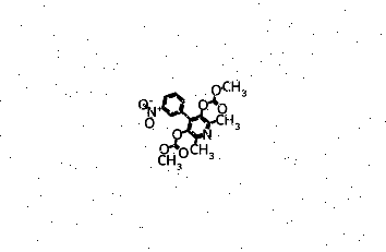 COC(=O)Oc1c(C)nc(C)c(OC(=O)OC)c1-c1cccc([N+](=O)[O-])c1